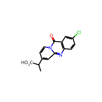 CC(C(=O)O)c1ccn2c(=O)c3cc(Cl)ccc3nc2c1